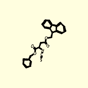 O=C(CC(N=C=S)C(=O)OCc1ccccc1)OCC1c2ccccc2-c2ccccc21